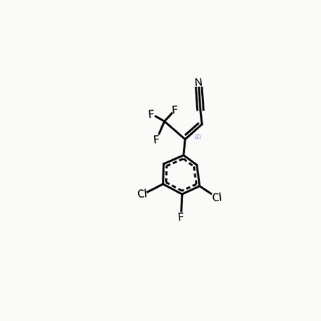 N#C/C=C(/c1cc(Cl)c(F)c(Cl)c1)C(F)(F)F